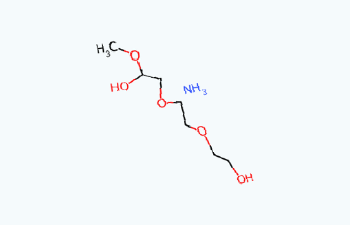 COC(O)COCCOCCO.N